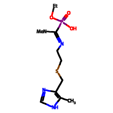 CCOP(=O)(O)/C(=N/CCSCc1nc[nH]c1C)NC